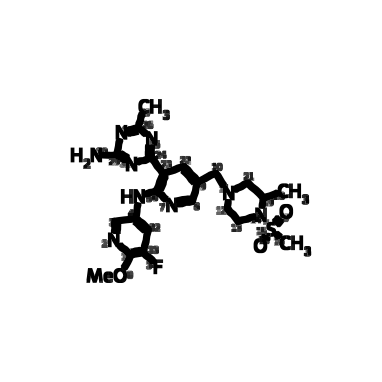 COc1ncc(Nc2ncc(CN3CCN(S(C)(=O)=O)C(C)C3)cc2-c2nc(C)nc(N)n2)cc1F